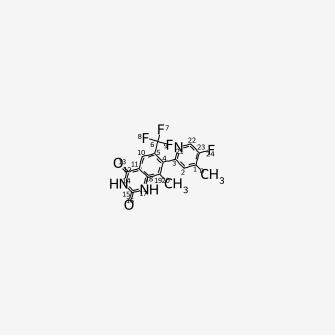 Cc1cc(-c2c(C(F)(F)F)cc3c(=O)[nH]c(=O)[nH]c3c2C)ncc1F